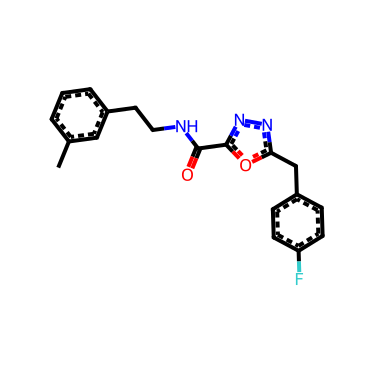 Cc1cccc(CCNC(=O)c2nnc(Cc3ccc(F)cc3)o2)c1